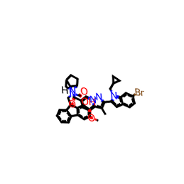 COc1cc(C(=O)N2CC3CCC2[C@@H]3N(CC2c3ccccc3-c3ccccc32)C(=O)O)cn2nc(-c3cc4ccc(Br)cc4n3CC3CC3)c(C)c12